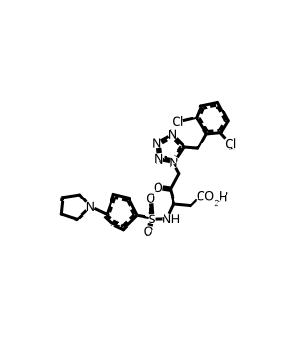 O=C(O)CC(NS(=O)(=O)c1ccc(N2CCCC2)cc1)C(=O)Cn1nnnc1Cc1c(Cl)cccc1Cl